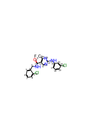 O=C(NCc1ccccc1Cl)c1cnc(Nc2cccc(Cl)c2)nc1C(F)(F)F